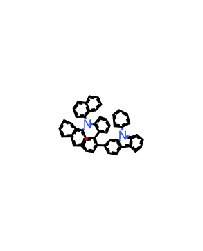 c1ccc(-n2c3ccccc3c3ccc(-c4ccccc4-c4ccccc4N(c4cccc5ccccc45)c4cccc5ccccc45)cc32)cc1